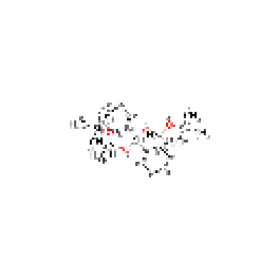 C[SiH](O[Si](C)(C)C)O[Si](O[SiH](C)O[Si](C)(C)C)(c1ccccc1)c1ccccc1